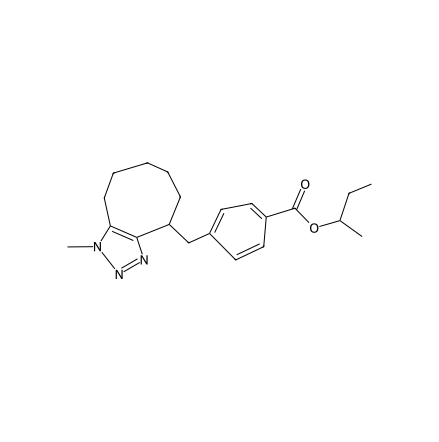 CCC(C)OC(=O)c1ccc(CC2CCCCCc3c2nnn3C)cc1